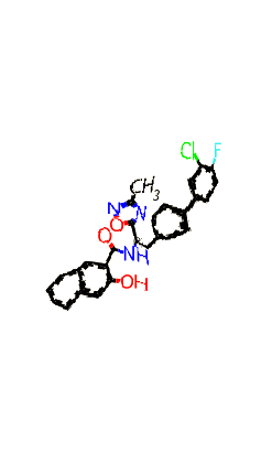 Cc1noc([C@@H](Cc2ccc(-c3ccc(F)c(Cl)c3)cc2)NC(=O)c2cc3ccccc3cc2O)n1